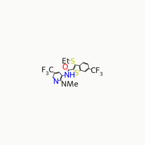 CCSc1c(C(=O)Nc2cc(C(F)(F)F)cnc2NC)sc2cc(C(F)(F)F)ccc12